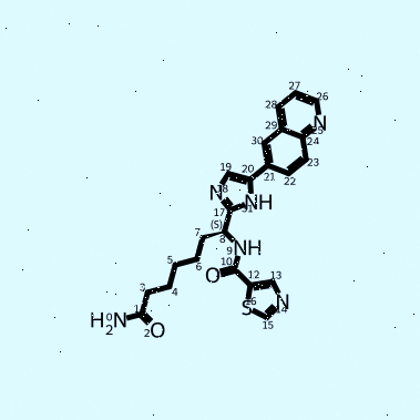 NC(=O)CCCCC[C@H](NC(=O)c1cncs1)c1ncc(-c2ccc3ncccc3c2)[nH]1